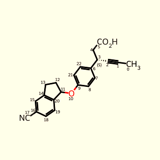 CC#C[C@@H](CC(=O)O)c1ccc(OC2CCc3cc(C#N)ccc32)cc1